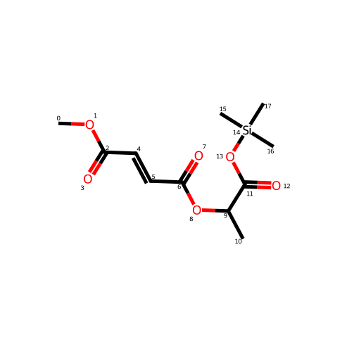 COC(=O)C=CC(=O)OC(C)C(=O)O[Si](C)(C)C